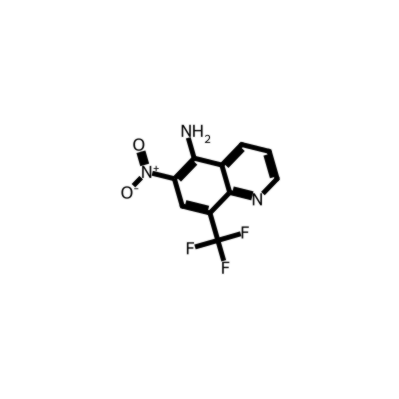 Nc1c([N+](=O)[O-])cc(C(F)(F)F)c2ncccc12